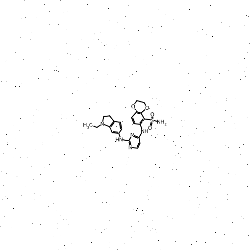 CCN1CCc2ccc(Nc3nccc(Nc4ccc5c(c4S(N)(=O)=O)OCCO5)n3)cc21